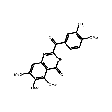 COc1ccc(C(=O)c2nc3cc(OC)c(OC)c(OC)c3c(=O)[nH]2)cc1C